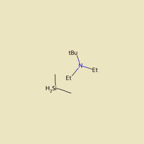 CCN(CC)C(C)(C)C.C[SiH2]C